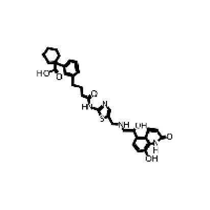 O=C(CCCc1cccc(C2(C(=O)O)CCCCC2)c1)Nc1ncc(CNCC(O)c2ccc(O)c3[nH]c(=O)ccc23)s1